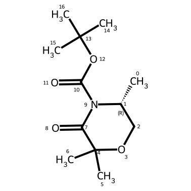 C[C@@H]1COC(C)(C)C(=O)N1C(=O)OC(C)(C)C